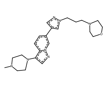 CN1CCN(c2cnn3cc(-c4cnn(CCCN5CCOCC5)c4)ccc23)CC1